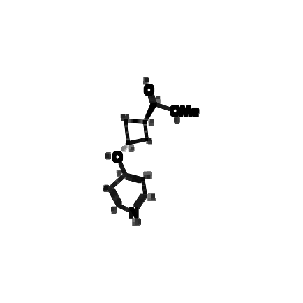 COC(=O)[C@H]1C[C@H](Oc2ccncc2)C1